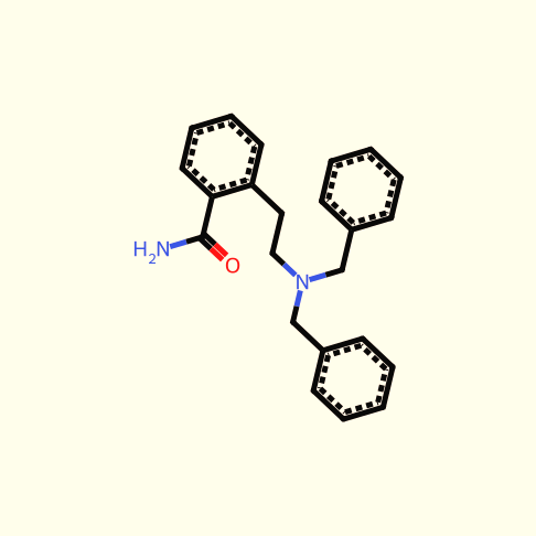 NC(=O)c1ccccc1CCN(Cc1ccccc1)Cc1ccccc1